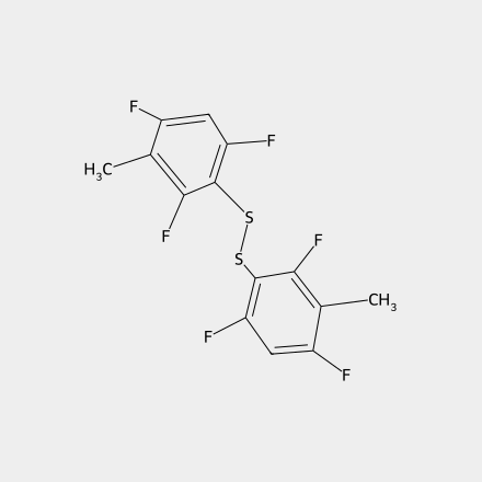 Cc1c(F)cc(F)c(SSc2c(F)cc(F)c(C)c2F)c1F